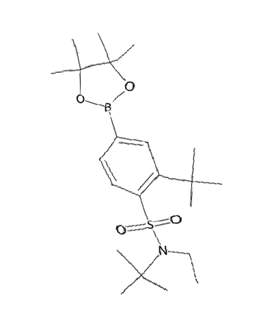 CCN(C(C)(C)C)S(=O)(=O)c1ccc(B2OC(C)(C)C(C)(C)O2)cc1C(C)(C)C